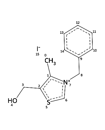 Cc1c(CO)sc[n+]1Cc1ccccc1.[I-]